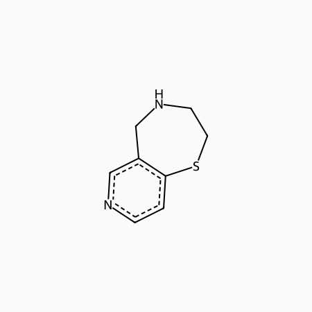 c1cc2c(cn1)CNCCS2